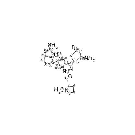 CN1CCCC1COc1nc(N2C[C@H](N)C[C@H](F)C2)c2cc(Cl)c(-c3cccc4sc(N)nc34)c(F)c2n1